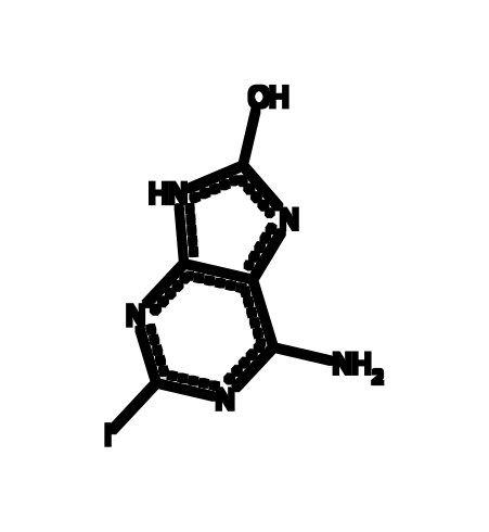 Nc1nc(I)nc2[nH]c(O)nc12